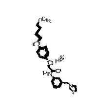 Br.CCCCCCCCCCCCCCOc1ccc(OCC(=O)Nc2cccc(CN3C=CSC3)c2)cc1